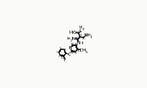 Cc1cc(Oc2ccccc2F)ncc1N/C(N)=C(\CN)C(C)O